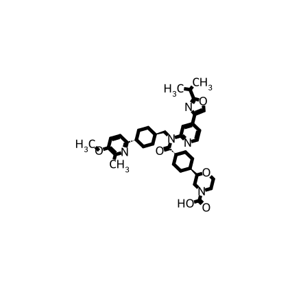 COc1ccc([C@H]2CC[C@H](CN(c3cc(-c4coc(C(C)C)n4)ccn3)C(=O)[C@H]3CC[C@H](C4CN(C(=O)O)CCO4)CC3)CC2)nc1C